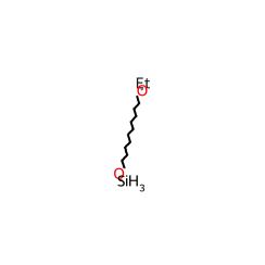 CCOCCCCCCCCCCCCO[SiH3]